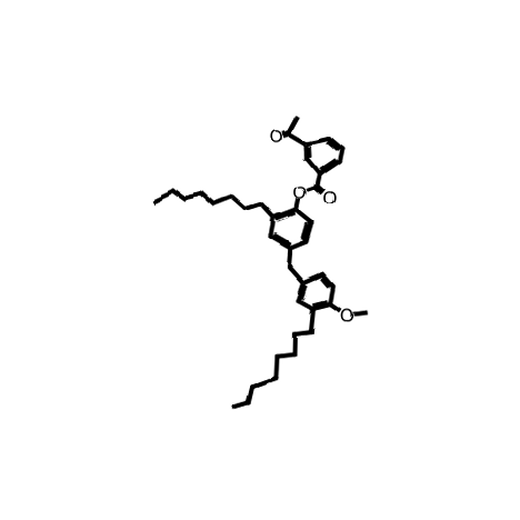 CCCCCCCCc1cc(Cc2ccc(OC(=O)c3cccc(C(C)=O)c3)c(CCCCCCCC)c2)ccc1OC